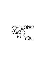 CCCCC(CC)C[Si]([CH]C1CCC1)(OC)OC